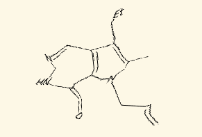 C=CCn1c(C)c(CC)c2cn[nH]c(=O)c21